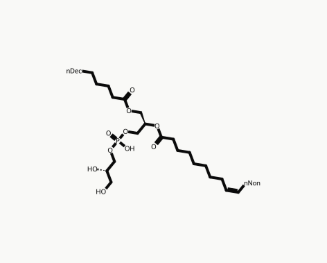 CCCCCCCCC/C=C\CCCCCCCC(=O)O[C@H](COC(=O)CCCCCCCCCCCCCC)COP(=O)(O)OC[C@@H](O)CO